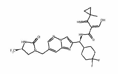 CC1(C(=N)/C(=C\O)C(=O)N[C@H](c2cn3ncc(CN4C[C@@H](C(F)(F)F)NC4=O)cc3n2)C2CCC(F)(F)CC2)CC1